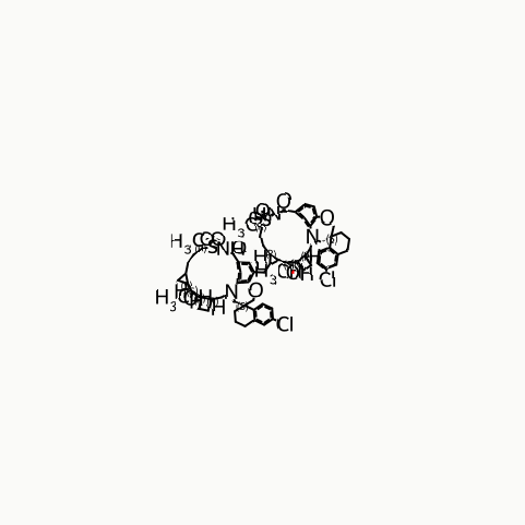 C[C@@H]1CCC2C[C@@H]2[C@](C)(O)[C@@H]2CC[C@H]2CN2C[C@@]3(CCCc4cc(Cl)ccc43)COc3c(CC4C5[C@@H]4CC[C@@H](C)S(=O)(=O)NC(=O)c4ccc6c(c4)N(C[C@@H]4CC[C@H]4[C@]5(C)O)C[C@@]4(CCCc5cc(Cl)ccc54)CO6)cc(cc32)C(=O)NS1(=O)=O